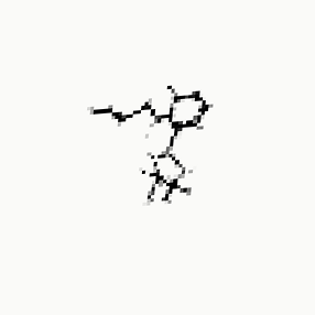 CCCCOc1c(C)cccc1B1OC(C)(C)C(C)(C)O1